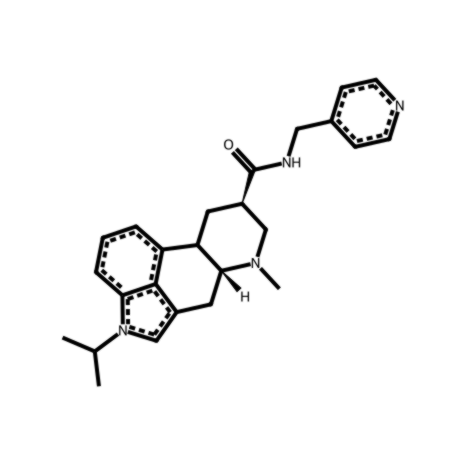 CC(C)n1cc2c3c(cccc31)C1C[C@@H](C(=O)NCc3ccncc3)CN(C)[C@@H]1C2